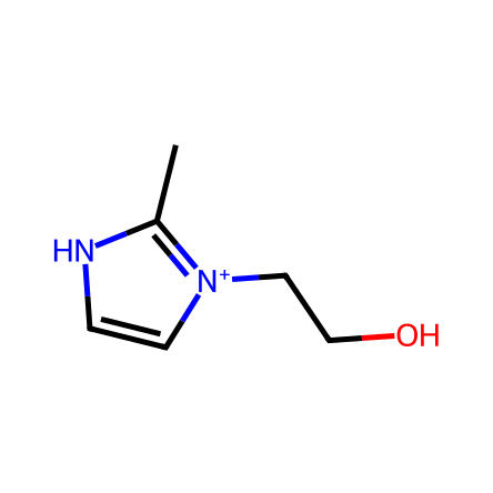 Cc1[nH]cc[n+]1CCO